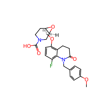 COc1ccc(CN2C(=O)CCc3c(OC[C@@]45CCN(C(=O)O)C[C@@H]4O5)ccc(F)c32)cc1